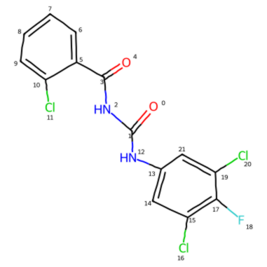 O=C(NC(=O)c1ccccc1Cl)Nc1cc(Cl)c(F)c(Cl)c1